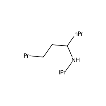 CCCC(CCC(C)C)NC(C)C